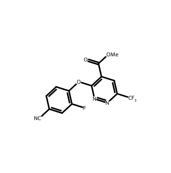 COC(=O)c1cc(C(F)(F)F)nnc1Oc1ccc(C#N)cc1F